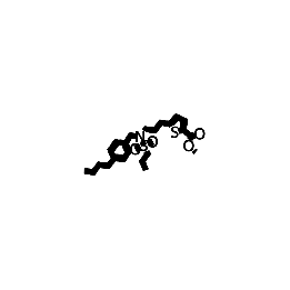 CCCCc1ccc(CN(CCCc2ccc(C(=O)OC)s2)S(=O)(=O)CCC)cc1